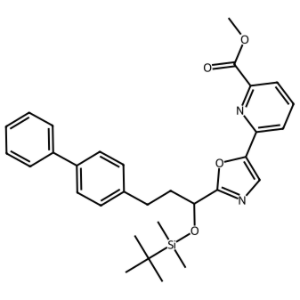 COC(=O)c1cccc(-c2cnc(C(CCc3ccc(-c4ccccc4)cc3)O[Si](C)(C)C(C)(C)C)o2)n1